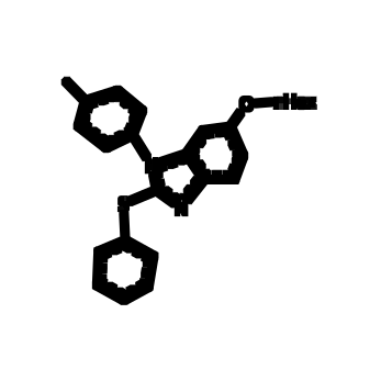 CCCCCCOc1ccc2nc(Sc3ccccc3)n(-c3ccc(C)cc3)c2c1